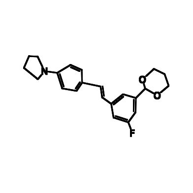 Fc1cc(C=Cc2ccc(N3CCCC3)cc2)cc(C2OCCCO2)c1